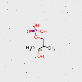 CC(COP(=O)(O)O)[C@@H](C)O